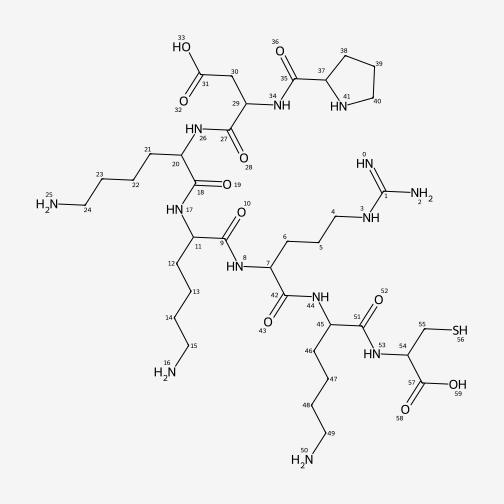 N=C(N)NCCCC(NC(=O)C(CCCCN)NC(=O)C(CCCCN)NC(=O)C(CC(=O)O)NC(=O)C1CCCN1)C(=O)NC(CCCCN)C(=O)NC(CS)C(=O)O